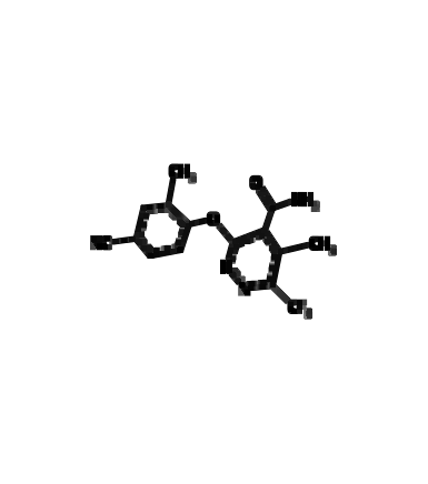 Cc1cc(C#N)ccc1Oc1nnc(C(F)(F)F)c(C)c1C(N)=O